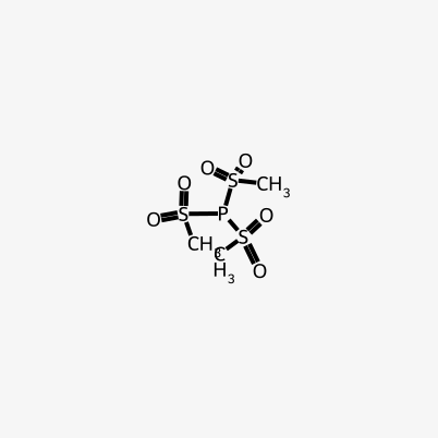 CS(=O)(=O)P(S(C)(=O)=O)S(C)(=O)=O